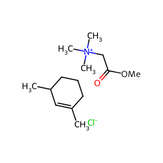 CC1=CC(C)CCC1.COC(=O)C[N+](C)(C)C.[Cl-]